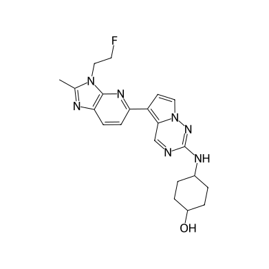 Cc1nc2ccc(-c3ccn4nc(NC5CCC(O)CC5)ncc34)nc2n1CCF